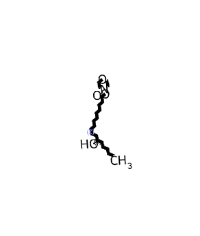 CCCCCC[C@@H](O)C/C=C\CCCCCCCC(=O)ON1CCOCC1